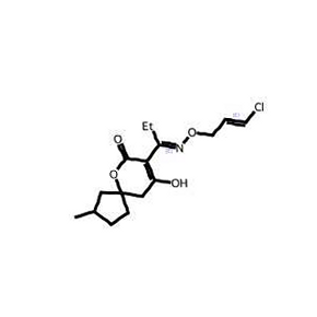 CC/C(=N\OC/C=C/Cl)C1=C(O)CC2(CCC(C)C2)OC1=O